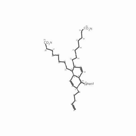 C=CCCCC1C=CC2C(C=CC(CCCCCCCC(=O)O)C2CCCCCCCC(=O)O)C1CCCCC